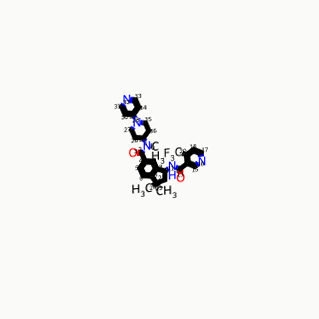 CN(C(=O)c1ccc2c(c1)C(NC(=O)c1cnccc1C(F)(F)F)CC2(C)C)C1CCN(c2ccncc2)CC1